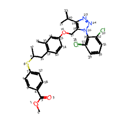 COC(=O)c1ccc(SC(C)Cc2ccc(OCc3c(C(C)C)nnn3-c3c(Cl)cccc3Cl)cc2C)cc1